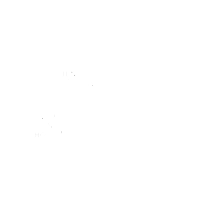 CC(N)O.CCCCCCCCCCCCOS(=O)(=O)O